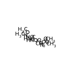 CCN(CCNC(=O)Nc1cc(C)c(Oc2ccnc3cc(OC)c(OC)cc23)cc1C)c1cccc(C)c1